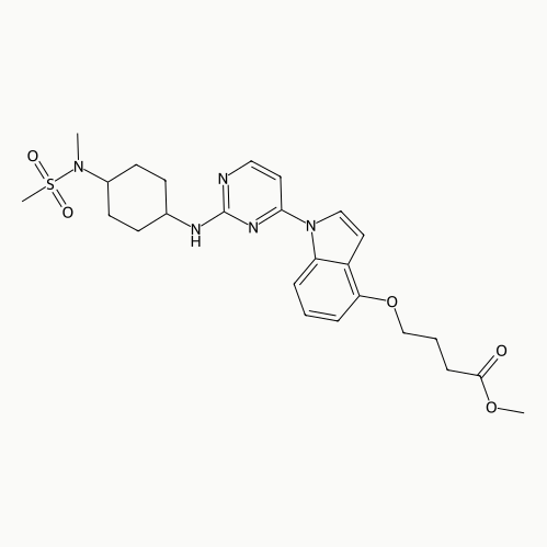 COC(=O)CCCOc1cccc2c1ccn2-c1ccnc(NC2CCC(N(C)S(C)(=O)=O)CC2)n1